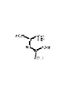 Br.CCCCCCCC[N](CCCCCCCC)[Nd][N](CCCCCCCC)CCCCCCCC